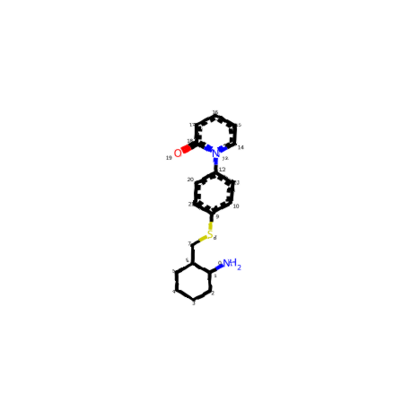 NC1CCCCC1CSc1ccc(-n2ccccc2=O)cc1